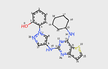 Oc1ccccc1-n1cc(Nc2nc(NC3CCCCC3)c3sccc3n2)cn1